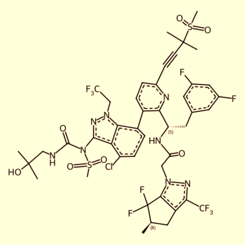 C[C@@H]1Cc2c(C(F)(F)F)nn(CC(=O)N[C@@H](Cc3cc(F)cc(F)c3)c3nc(C#CC(C)(C)S(C)(=O)=O)ccc3-c3ccc(Cl)c4c(N(C(=O)NCC(C)(C)O)S(C)(=O)=O)nn(CC(F)(F)F)c34)c2C1(F)F